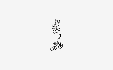 CN(CCOCC(=O)NC(c1cccnc1)c1cc2ccccc2o1)CCc1cccc2c1C(=O)N(C1CCC(=O)NC1=O)C2=O